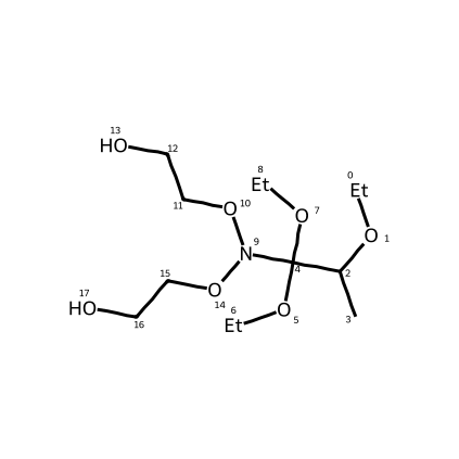 CCOC(C)C(OCC)(OCC)N(OCCO)OCCO